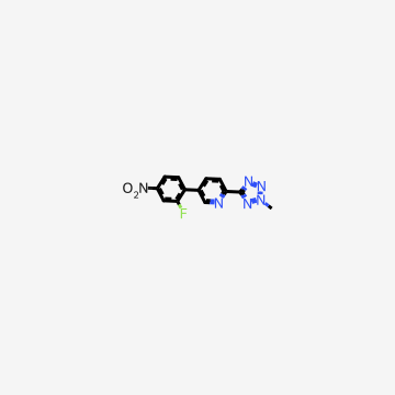 Cn1nnc(-c2ccc(-c3ccc([N+](=O)[O-])cc3F)cn2)n1